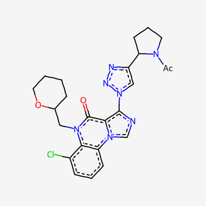 CC(=O)N1CCCC1c1cn(-c2ncn3c2c(=O)n(CC2CCCCO2)c2c(Cl)cccc23)nn1